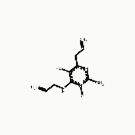 C=CCNc1c(O)c(CC=C)nc(N)[n+]1[O-]